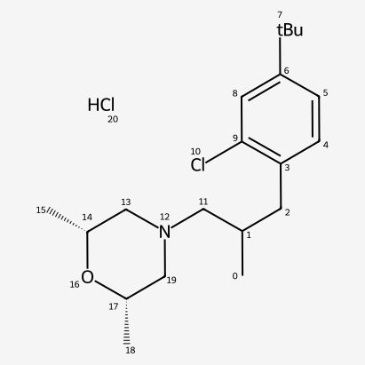 CC(Cc1ccc(C(C)(C)C)cc1Cl)CN1C[C@@H](C)O[C@@H](C)C1.Cl